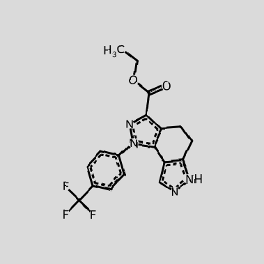 CCOC(=O)c1nn(-c2ccc(C(F)(F)F)cc2)c2c1CCc1[nH]ncc1-2